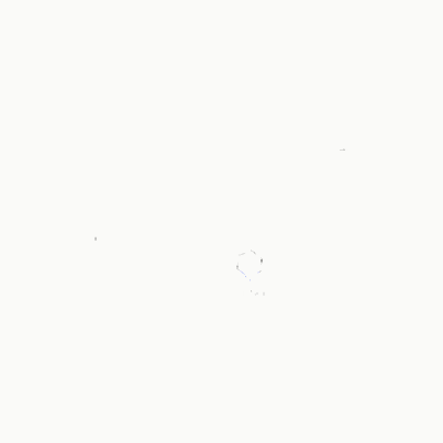 CCCCCCCCCCCCCCCCCCCc1cc[n+](CCCCCCCCC)cc1CCCCCCCCCCCCCCCCCCC